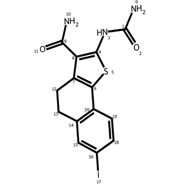 NC(=O)Nc1sc2c(c1C(N)=O)CCc1cc(I)ccc1-2